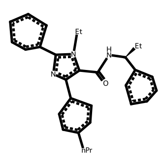 CCCc1ccc(-c2nc(-c3ccccc3)n(CC)c2C(=O)N[C@@H](CC)c2ccccc2)cc1